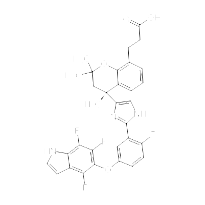 CC1(C)C[C@@](C)(c2c[nH]c(-c3cc(Oc4c(F)c(F)c5[nH]ccc5c4F)ccc3F)n2)c2cccc(CCC(=O)O)c2O1